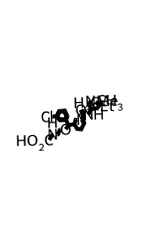 CCC(C)(C)CC(CNC)NC(=O)N1CCCC(C(OCCNC(=O)O)c2cccc(Cl)c2)C1